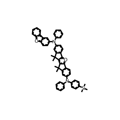 CC1(C)c2cc(N(c3ccccc3)c3ccc([Si](C)(C)C)cc3)ccc2-c2oc3c(c21)C(C)(C)c1cc(N(c2ccccc2)c2ccc4oc5ccccc5c4c2)ccc1-3